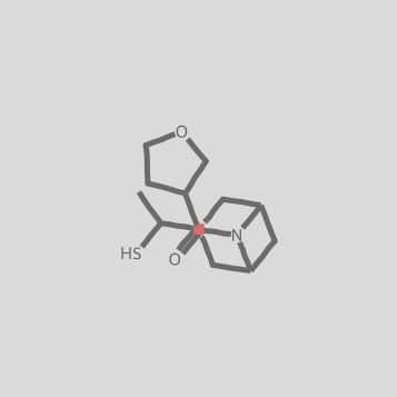 CC(S)N1CC2CC(C1)N2C(=O)C1CCOC1